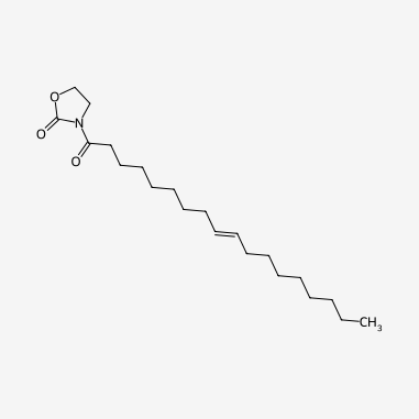 CCCCCCCCC=CCCCCCCCC(=O)N1CCOC1=O